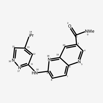 CNC(=O)c1cnc2ccc(Nc3cc(C(C)C)cnn3)nc2c1